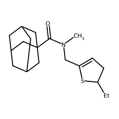 CCC1CC=C(CN(C)C(=O)C23CC4CC(CC(C4)C2)C3)S1